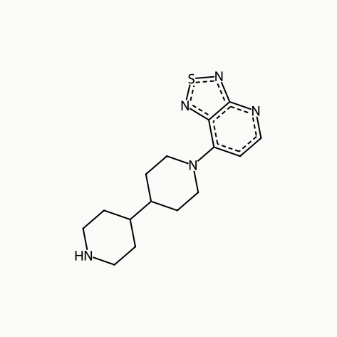 c1cc(N2CCC(C3CCNCC3)CC2)c2nsnc2n1